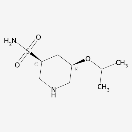 CC(C)O[C@H]1CNC[C@@H](S(N)(=O)=O)C1